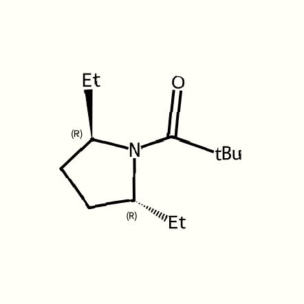 CC[C@@H]1CC[C@@H](CC)N1C(=O)C(C)(C)C